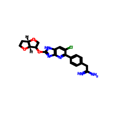 N=C(N)Cc1ccc(-c2nc3nc(OC4CO[C@@H]5CCO[C@H]45)[nH]c3cc2Cl)cc1